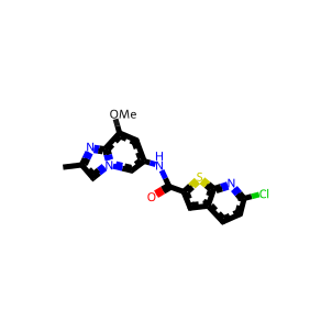 COc1cc(NC(=O)c2cc3ccc(Cl)nc3s2)cn2cc(C)nc12